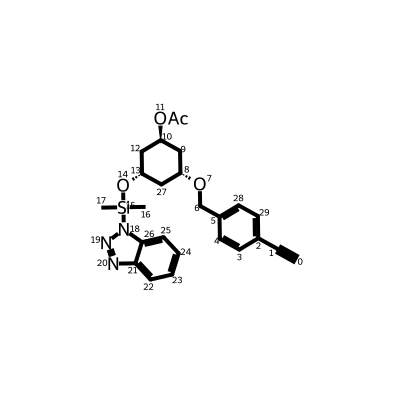 C#Cc1ccc(CO[C@H]2C[C@H](OC(C)=O)C[C@@H](O[Si](C)(C)n3nnc4ccccc43)C2)cc1